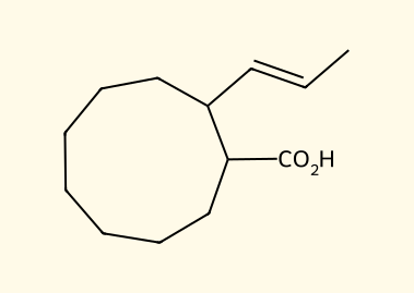 CC=CC1CCCCCCCC1C(=O)O